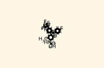 C[C@@H]1C[C@](c2ccc(C(F)(C(F)(F)F)C(F)(F)F)cc2)(S(=O)(=O)c2ccc(F)cc2)CCC1NC(=O)O